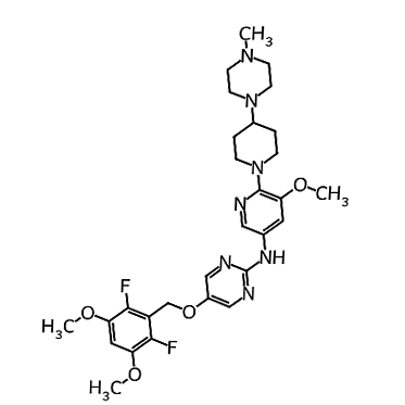 COc1cc(Nc2ncc(OCc3c(F)c(OC)cc(OC)c3F)cn2)cnc1N1CCC(N2CCN(C)CC2)CC1